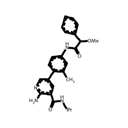 COC(C(=O)Nc1ccc(-c2cnc(N)c(C(=O)NC(C)C)c2)c(C)c1)c1ccccc1